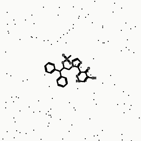 CS(=O)(=O)OC(Cn1ccnc1-c1n[nH]cc(O)c1=O)C(c1ccccc1)c1ccccc1